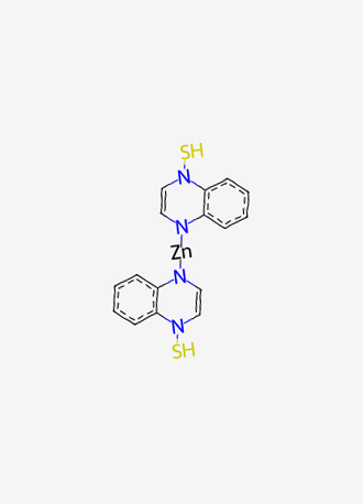 SN1C=C[N]([Zn][N]2C=CN(S)c3ccccc32)c2ccccc21